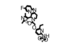 CCc1nc(NS(C)(=O)=O)ccc1OCC(=O)N1CCc2nc3ccc(F)cn3c2C1c1sc(C)nc1C